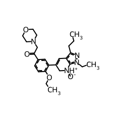 CCCc1nn(CC)c2c1C=C(c1cc(C(=O)CN3CCOCC3)ccc1OCC)C[NH+]2[O-]